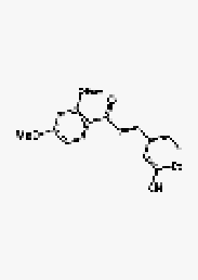 C/C=C(/C=C/C(=O)c1ccc(OC)cc1OC)\C=C(\C#N)CC